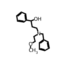 COCCN(CCC(O)c1ccccc1)Cc1ccccc1